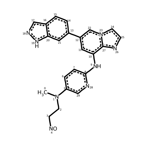 CN(CCN=O)c1ccc(Nc2cc(-c3ccc4cn[nH]c4c3)cn3ccnc23)nc1